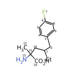 CCC(Cc1ccc(F)cc1)CC(C)(N)C(=O)O